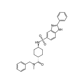 CN(Cc1ccccc1)C(=O)[C@H]1CC[C@H](NS(=O)(=O)c2ccc3[nH]c(-c4ccccc4)nc3c2)CC1